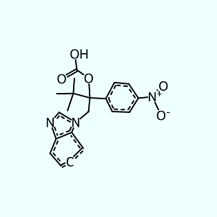 CC(C)(C)C(Cn1cnc2ccccc21)(OC(=O)O)c1ccc([N+](=O)[O-])cc1